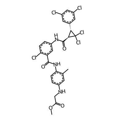 COC(=O)CNc1ccc(NC(=O)c2cc(NC(=O)[C@H]3[C@H](c4cc(Cl)cc(Cl)c4)C3(Cl)Cl)ccc2Cl)c(C)c1